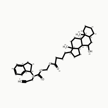 C#CCN(C(=O)OCOC(=O)CCCC1CCC2C3C(O)CC4CCCCC4(C)C3CCC12C)C1CCc2ccccc21